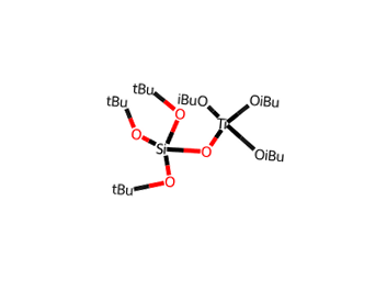 CC(C)C[O][Ti]([O]CC(C)C)([O]CC(C)C)[O][Si](OC(C)(C)C)(OC(C)(C)C)OC(C)(C)C